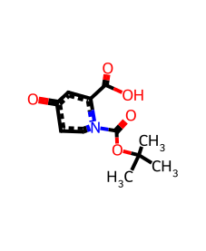 CC(C)(C)OC(=O)n1ccc(=O)cc1C(=O)O